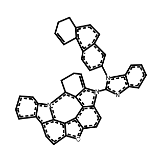 C1=Cc2c(ccc3cc(-n4c(-n5c6c7c(n8c9ccccc9c9ccc%10oc%11ccc5c7c%11c%10c98)CCC=6)nc5ccccc54)ccc23)CC1